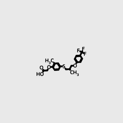 Cc1cc(SCC(C)COc2ccc(C(F)(F)F)cc2)ccc1OCC(=O)O